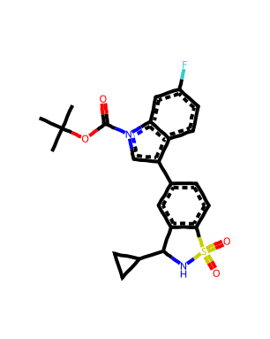 CC(C)(C)OC(=O)n1cc(-c2ccc3c(c2)C(C2CC2)NS3(=O)=O)c2ccc(F)cc21